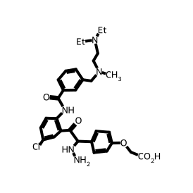 CCN(CC)CCN(C)Cc1cccc(C(=O)Nc2ccc(Cl)cc2C(=O)C(NN)c2ccc(OCC(=O)O)cc2)c1